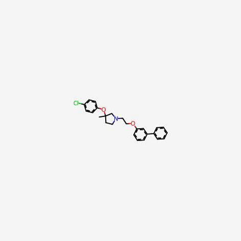 CC1(Oc2ccc(Cl)cc2)CCN(CCOc2cccc(-c3ccccc3)c2)C1